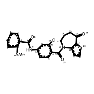 CSc1ccccc1C(=O)Nc1ccc(C(=O)N2CCCC(=O)c3sccc32)c(Cl)c1